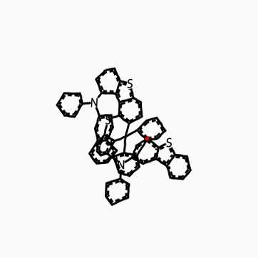 c1ccc(N(c2ccc3sc4ccccc4c3c2)c2cccc3c2C2(c4ccccc4-c4ccccc42)c2ccc4sc5cccc(N(c6ccccc6)c6ccc7ccccc7c6)c5c4c2S3)cc1